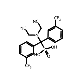 N#CCN(CC#N)C(c1cccc(C(F)(F)F)c1)(c1cccc(C(F)(F)F)c1)P(=O)(O)O